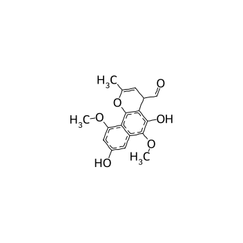 COc1c(O)c2c(c3c(OC)cc(O)cc13)OC(C)=CC2C=O